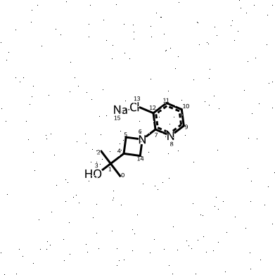 CC(C)(O)C1CN(c2ncccc2Cl)C1.[Na]